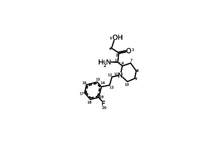 N[C](C(=O)CO)C1CCCCN1CCc1ccccc1F